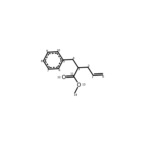 C=CCC(Cc1ccccc1)C(=O)OC